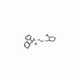 O=C(O)C1C2CCC(O2)C1CNCCN1C(=O)NC(c2ccccc2)(c2ccccc2)C1=O